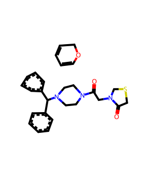 C1=CCOC=C1.O=C(CN1CSCC1=O)N1CCN(C(c2ccccc2)c2ccccc2)CC1